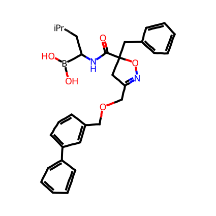 CC(C)CC(NC(=O)C1(Cc2ccccc2)CC(COCc2cccc(-c3ccccc3)c2)=NO1)B(O)O